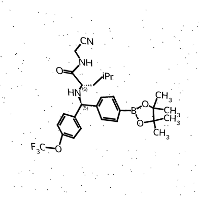 CC(C)C[C@H](N[C@H](c1ccc(OC(F)(F)F)cc1)c1ccc(B2OC(C)(C)C(C)(C)O2)cc1)C(=O)NCC#N